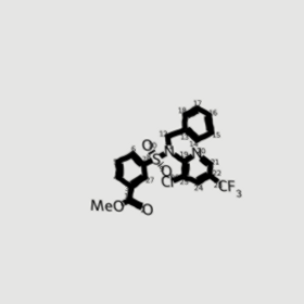 COC(=O)c1cccc(S(=O)(=O)N(Cc2ccccc2)c2ncc(C(F)(F)F)cc2Cl)c1